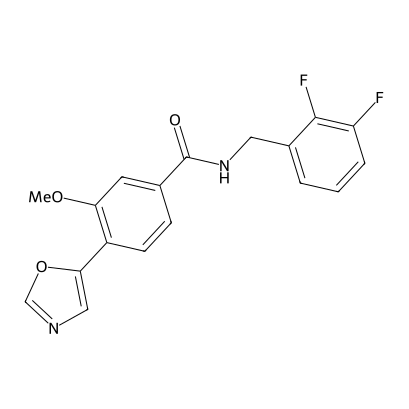 COc1cc(C(=O)NCc2cccc(F)c2F)ccc1-c1cnco1